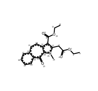 CCOC(=O)Cc1c(C(=O)OCC)c2ccc3ccccc3c(=O)c2n1C